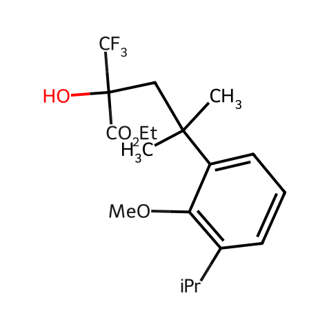 CCOC(=O)C(O)(CC(C)(C)c1cccc(C(C)C)c1OC)C(F)(F)F